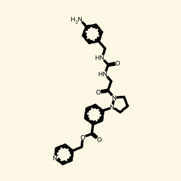 Nc1ccc(CNC(=O)NCC(=O)N2CCCN2c2cccc(C(=O)OCc3ccncc3)c2)cc1